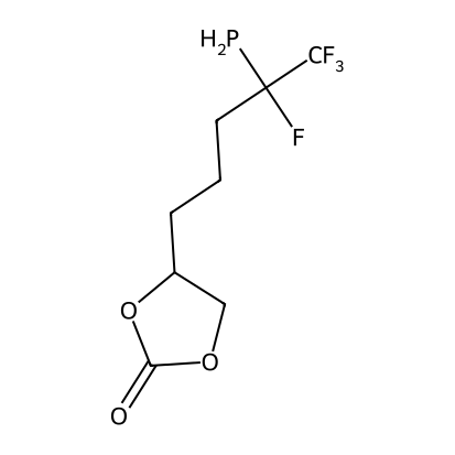 O=C1OCC(CCCC(F)(P)C(F)(F)F)O1